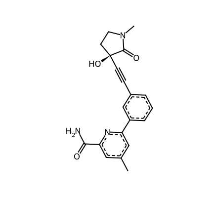 Cc1cc(C(N)=O)nc(-c2cccc(C#C[C@]3(O)CCN(C)C3=O)c2)c1